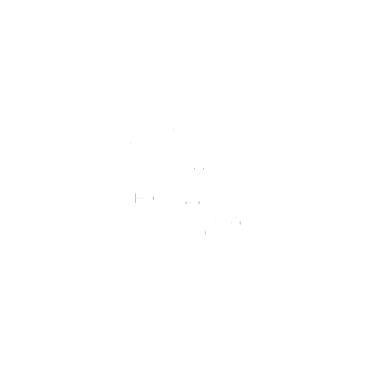 CC(C(=O)OCC(=O)OC1CC1)C1CCCCC1